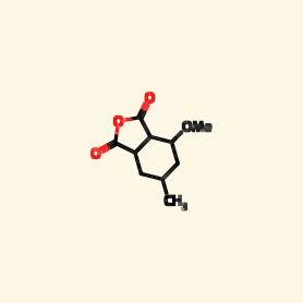 COC1CC(C)CC2C(=O)OC(=O)C12